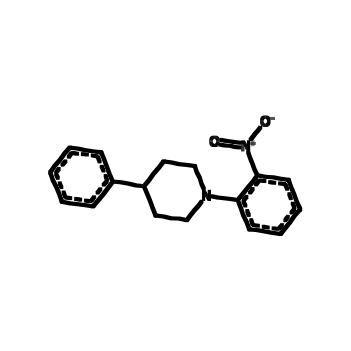 O=[N+]([O-])c1ccccc1N1CCC(c2ccccc2)CC1